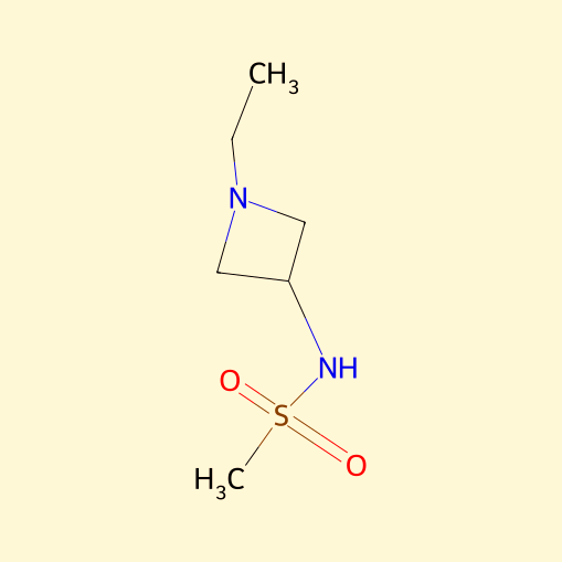 CCN1CC(NS(C)(=O)=O)C1